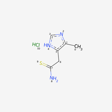 Cc1nc[nH]c1CC(N)=S.Cl